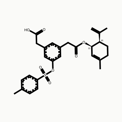 C=C(C)[C@H]1CCC(C)=C[C@H]1OC(=O)Cc1cc(CC(=O)O)cc(OS(=O)(=O)c2ccc(C)cc2)c1